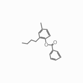 CCCCc1cc(C)ccc1OC(=O)c1ccccc1